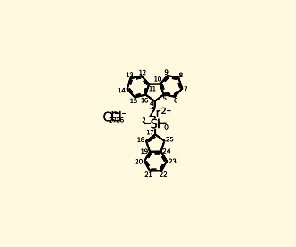 C[Si](C)([Zr+2][CH]1c2ccccc2-c2ccccc21)C1=Cc2ccccc2C1.[Cl-].[Cl-]